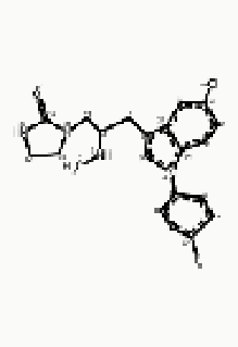 CNC(Cc1cn(-c2ccc(F)cc2)c2ccc(Cl)cc12)CN1CCNC1=O